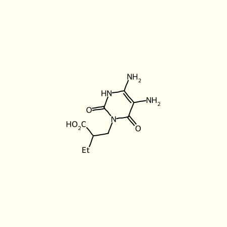 CCC(Cn1c(=O)[nH]c(N)c(N)c1=O)C(=O)O